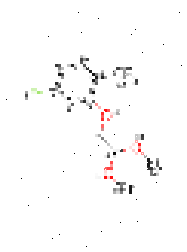 CCOC(COc1cc(F)ccc1C(F)(F)F)OCC